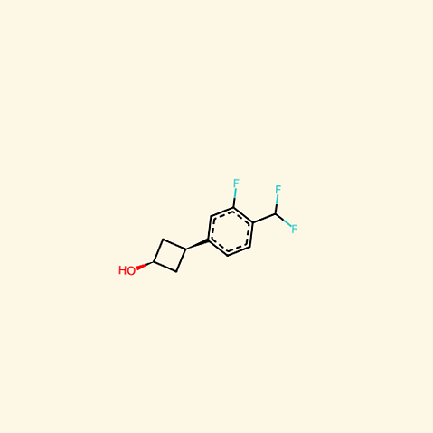 O[C@H]1C[C@@H](c2ccc(C(F)F)c(F)c2)C1